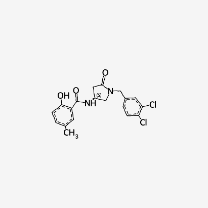 Cc1ccc(O)c(C(=O)N[C@H]2CC(=O)N(Cc3ccc(Cl)c(Cl)c3)C2)c1